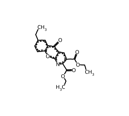 CCOC(=O)c1cc2c(=O)c3cc(CC)ccc3oc2nc1C(=O)OCC